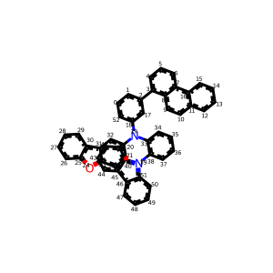 c1cc(-c2cccc3c2ccc2ccccc23)cc(N(c2ccc3oc4ccccc4c3c2)c2ccccc2-n2c3ccccc3c3ccccc32)c1